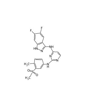 Cc1ccc(Nc2nccc(Nc3n[nH]c4cc(F)c(F)cc34)n2)cc1S(C)(=O)=O